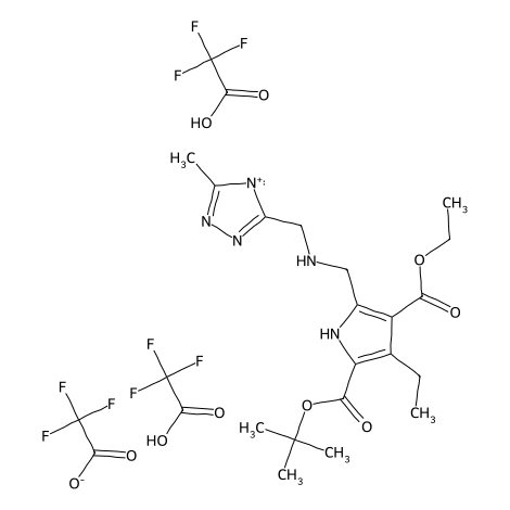 CCOC(=O)c1c(CNCC2=NN=C(C)[N+]2)[nH]c(C(=O)OC(C)(C)C)c1CC.O=C(O)C(F)(F)F.O=C(O)C(F)(F)F.O=C([O-])C(F)(F)F